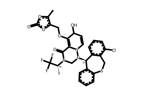 Cc1oc(=O)oc1COC1=C2C(=O)N([C@H](C)C(F)(F)F)CN([C@@H]3c4ccccc4SCc4c(Cl)cccc43)N2C=CC1O